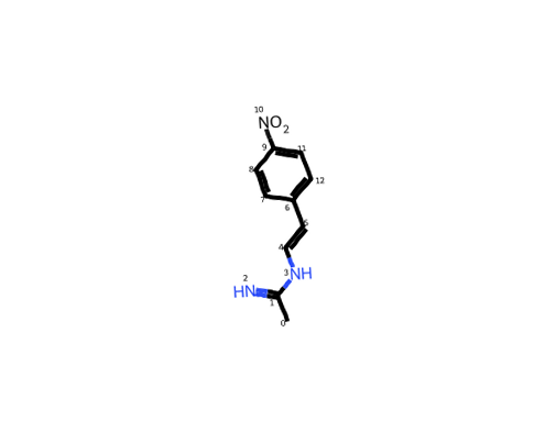 CC(=N)N/C=C/c1ccc([N+](=O)[O-])cc1